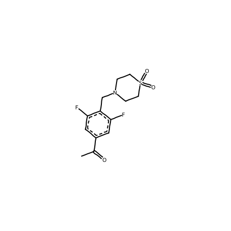 CC(=O)c1cc(F)c(CN2CCS(=O)(=O)CC2)c(F)c1